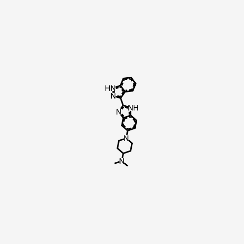 CN(C)C1CCN(c2ccc3[nH]c(-c4n[nH]c5ccccc45)nc3c2)CC1